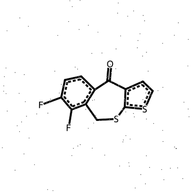 O=C1c2ccsc2SCc2c1ccc(F)c2F